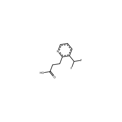 O=C(O)CCc1ncccc1C(F)F